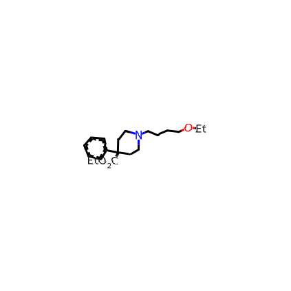 CCOCCCCN1CCC(C(=O)OCC)(c2ccccc2)CC1